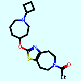 CCC(=O)N1CCc2nc(OC3CCCN(C4CCC4)CC3)sc2CC1